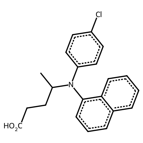 CC(CCC(=O)O)N(c1ccc(Cl)cc1)c1cccc2ccccc12